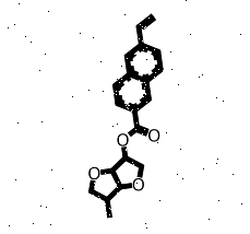 C=Cc1ccc2cc(C(=O)OC3COC4C(C)COC34)ccc2c1